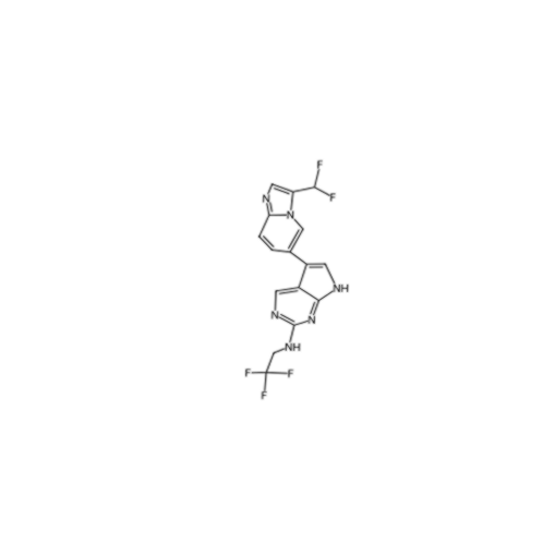 FC(F)c1cnc2ccc(-c3c[nH]c4nc(NCC(F)(F)F)ncc34)cn12